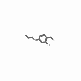 CCCOc1ccc(CBr)c(Cl)c1